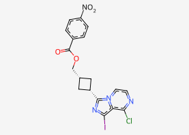 O=C(OC[C@H]1C[C@@H](c2nc(I)c3c(Cl)nccn32)C1)c1ccc([N+](=O)[O-])cc1